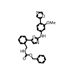 COc1cc(Nc2ncc(-c3ccccc3CNC(=O)OCc3ccccc3)o2)ccc1-c1cnco1